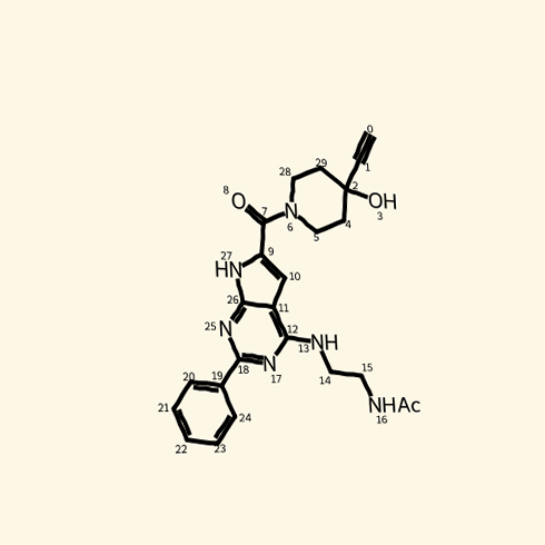 C#CC1(O)CCN(C(=O)c2cc3c(NCCNC(C)=O)nc(-c4ccccc4)nc3[nH]2)CC1